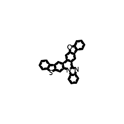 c1ccc2c(c1)nc1c3cc4c(cc3c3cc5c(cc3n21)sc1ccccc15)oc1ccccc14